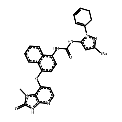 Cn1c(=O)[nH]c2nccc(Oc3ccc(NC(=O)Nc4cc(C(C)(C)C)nn4C4=CC=CCC4)c4ccccc34)c21